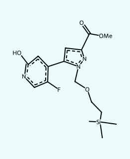 COC(=O)c1cc(-c2cc(O)ncc2F)n(COCC[Si](C)(C)C)n1